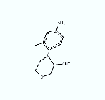 Cc1cc(N)ccc1N1CCOCC1C=O